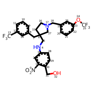 O=[N+]([O-])c1cc(NCC2(Cc3cccc(C(F)(F)F)c3)CCN(Cc3cccc(OC(F)(F)F)c3)C2)ccc1CO